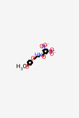 COc1ccc(OCCCNC(=O)c2cc([N+](=O)[O-])cc([N+](=O)[O-])c2)cc1